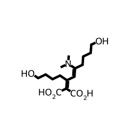 CN(C)C(=CC(CCCCO)=C(C(=O)O)C(=O)O)CCCCO